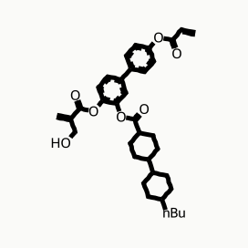 C=CC(=O)Oc1ccc(-c2ccc(OC(=O)C(=C)CO)c(OC(=O)C3CCC(C4CCC(CCCC)CC4)CC3)c2)cc1